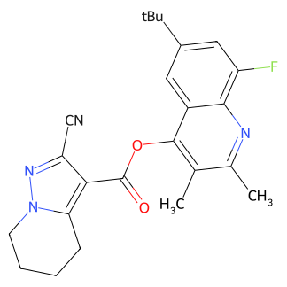 Cc1nc2c(F)cc(C(C)(C)C)cc2c(OC(=O)c2c(C#N)nn3c2CCCC3)c1C